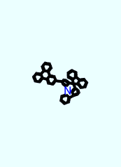 c1ccc2c(c1)-c1ccccc1C21c2ccc(-c3ccc4c5ccccc5c5ccccc5c4c3)cc2-n2c3ccccc3c3cccc1c32